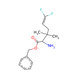 CC(C)(CC=C(F)F)C(N)C(=O)OCc1ccccc1